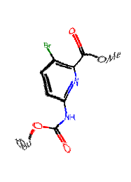 COC(=O)c1nc(NC(=O)OC(C)(C)C)ccc1Br